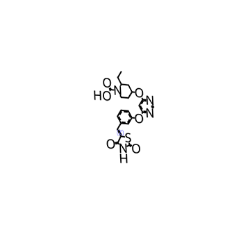 CCC1CC(Oc2cc(Oc3cccc(/C=C4\SC(=O)NC4=O)c3)ncn2)CCN1C(=O)O